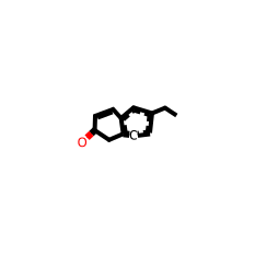 CCc1ccc2c(c1)C=CC(=O)C2